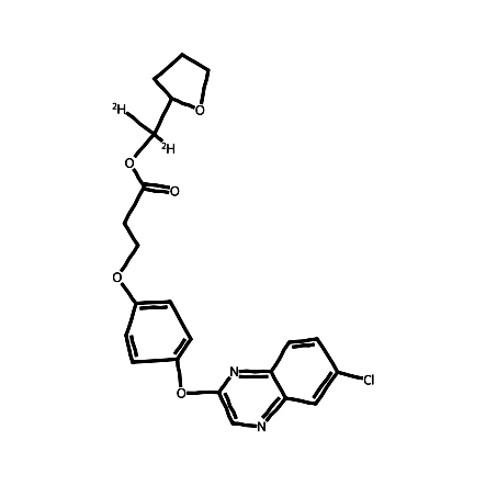 [2H]C([2H])(OC(=O)CCOc1ccc(Oc2cnc3cc(Cl)ccc3n2)cc1)C1CCCO1